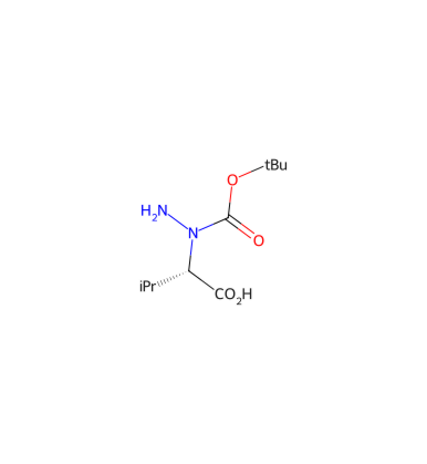 CC(C)[C@@H](C(=O)O)N(N)C(=O)OC(C)(C)C